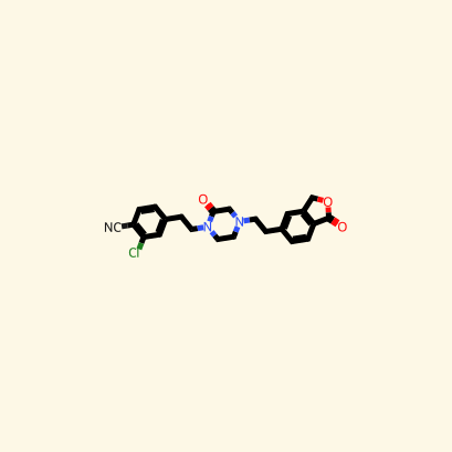 N#Cc1ccc(CCN2CCN(CCc3ccc4c(c3)COC4=O)CC2=O)cc1Cl